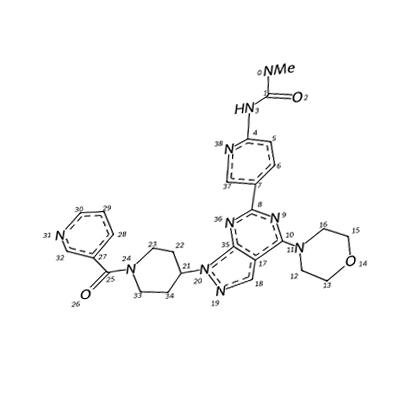 CNC(=O)Nc1ccc(-c2nc(N3CCOCC3)c3cnn(C4CCN(C(=O)c5cccnc5)CC4)c3n2)cn1